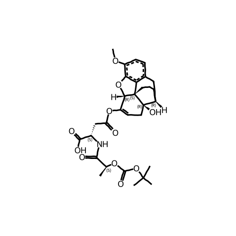 COc1ccc2c3c1O[C@H]1C(OC(=O)C[C@H](NC(=O)[C@H](C)OC(=O)OC(C)(C)C)C(=O)O)=CC[C@@]4(O)[C@H](CCC[C@]314)C2